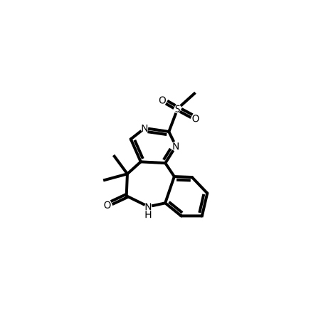 CC1(C)C(=O)Nc2ccccc2-c2nc(S(C)(=O)=O)ncc21